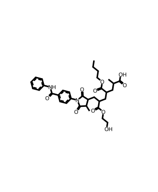 CCCCOC(=O)C(CC(C)C(=O)O)CC(CC1C(=O)N(c2ccc(C(=O)Nc3ccccc3)cc2)C(=O)C1C)C(=O)OCCO